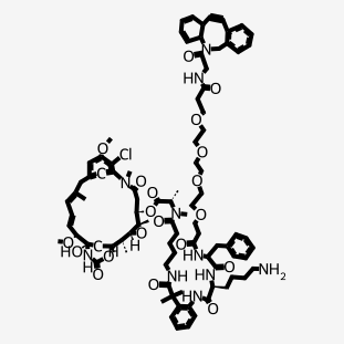 COc1cc2cc(c1Cl)N(C)C(=O)C[C@H](OC(=O)[C@H](C)N(C)C(=O)CCCCNC(=O)C(C)(C)c1ccccc1NC(=O)[C@H](CCCCN)NC(=O)C(Cc1ccccc1)NC(=O)CCOCCOCCOCCOCCC(=O)NCC(=O)N1Cc3ccccc3C#CC3C=CC=CC31)[C@]1(C)O[C@H]1[C@H](C)[C@@H]1C[C@@](O)(NC(=O)O1)[C@H](OC)/C=C/C=C(\C)C2